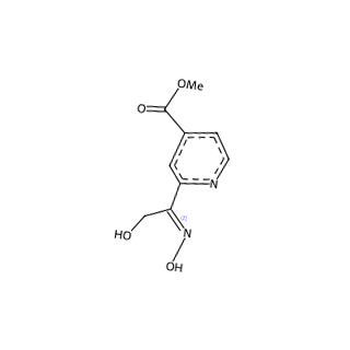 COC(=O)c1ccnc(/C(CO)=N/O)c1